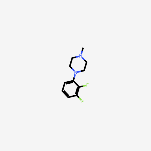 CN1CCN(c2cccc(F)c2F)CC1